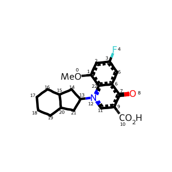 COc1cc(F)cc2c(=O)c(C(=O)O)cn(C3CC4CCCCC4C3)c12